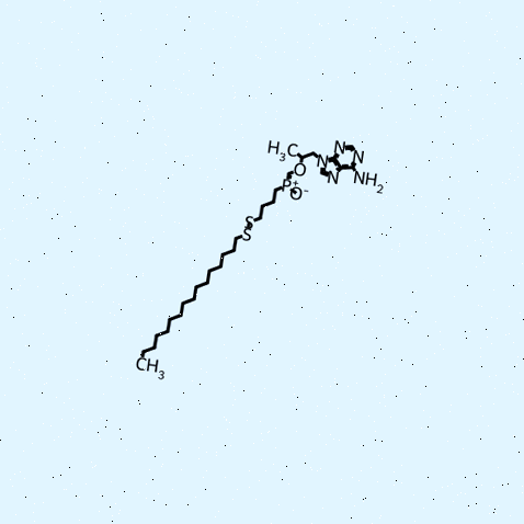 CCCCCCCCCCCCCCCCSSCCCC/[P+]([O-])=C/OC(C)Cn1cnc2c(N)ncnc21